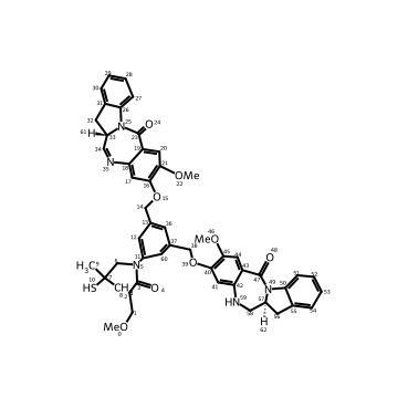 COCCC(=O)N(CC(C)(C)S)c1cc(COc2cc3c(cc2OC)C(=O)N2c4ccccc4C[C@H]2C=N3)cc(COc2cc3c(cc2OC)C(=O)N2c4ccccc4C[C@H]2CN3)c1